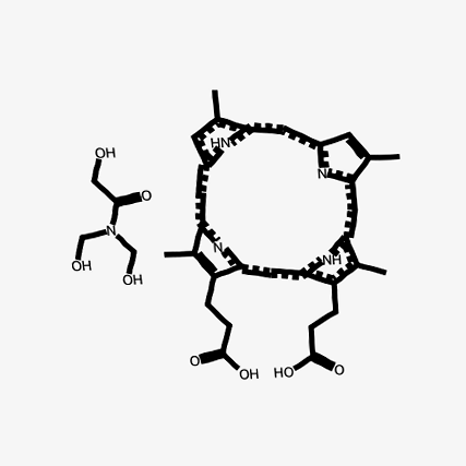 CC1=Cc2cc3[nH]c(cc4nc(cc5[nH]c(cc1n2)c(C)c5CCC(=O)O)C(CCC(=O)O)=C4C)cc3C.O=C(CO)N(CO)CO